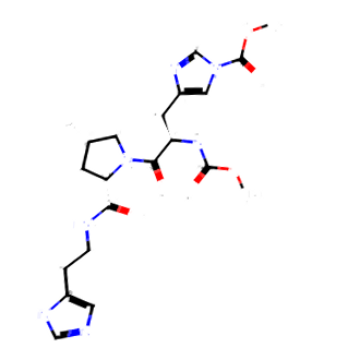 C[C@H]1C[C@@H](C(=O)NCCc2cnc[nH]2)N(C(=O)[C@@H](Cc2cn(C(=O)OC(C)(C)C)cn2)NC(=O)OC(C)(C)C)C1